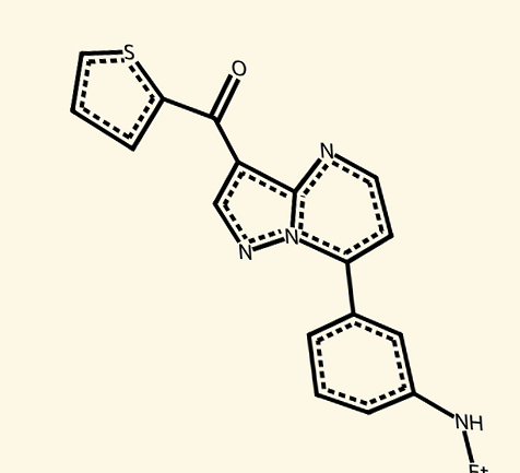 CCNc1cccc(-c2ccnc3c(C(=O)c4cccs4)cnn23)c1